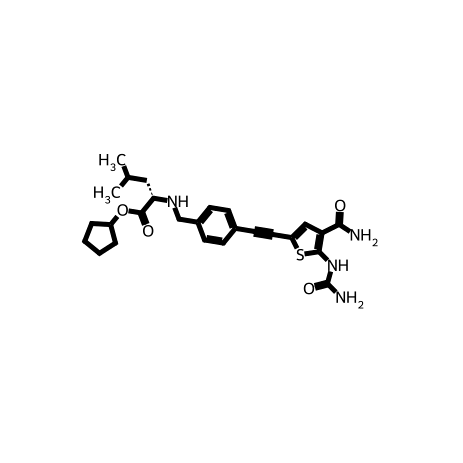 CC(C)C[C@H](NCc1ccc(C#Cc2cc(C(N)=O)c(NC(N)=O)s2)cc1)C(=O)OC1CCCC1